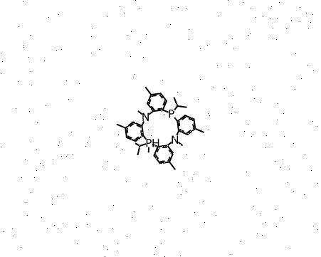 Cc1ccc2c(c1)N(C)c1cc(C)ccc1[PH](C)(C(C)C)c1ccc(C)cc1N(C)c1cc(C)ccc1P2C(C)C